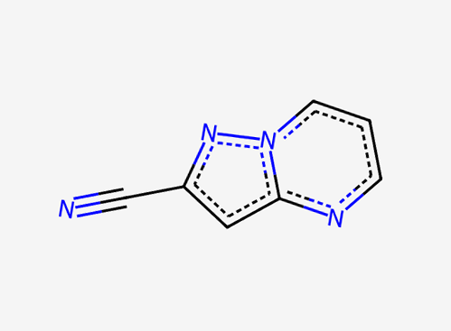 N#Cc1cc2ncccn2n1